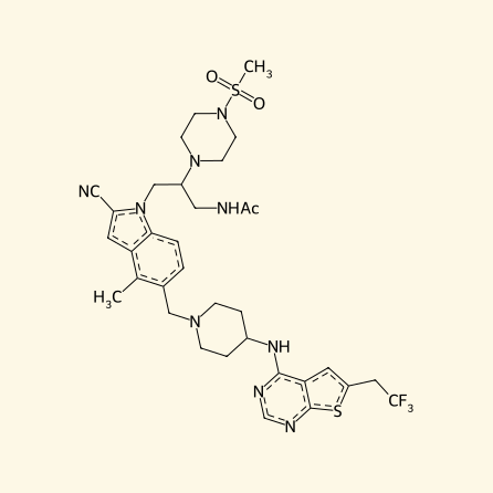 CC(=O)NCC(Cn1c(C#N)cc2c(C)c(CN3CCC(Nc4ncnc5sc(CC(F)(F)F)cc45)CC3)ccc21)N1CCN(S(C)(=O)=O)CC1